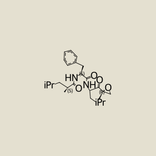 CC(C)CC(NC(=O)[C@H](Cc1ccccc1)NC(=O)[C@@H](C)CC(C)C)C(=O)[C@@]1(C)CO1